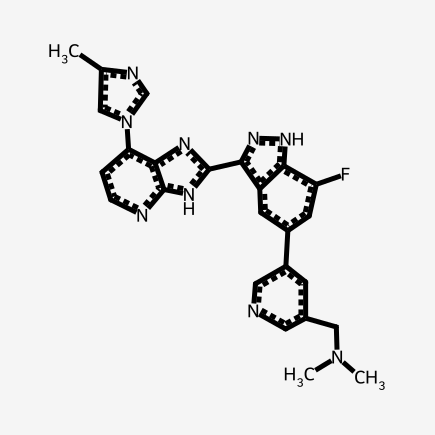 Cc1cn(-c2ccnc3[nH]c(-c4n[nH]c5c(F)cc(-c6cncc(CN(C)C)c6)cc45)nc23)cn1